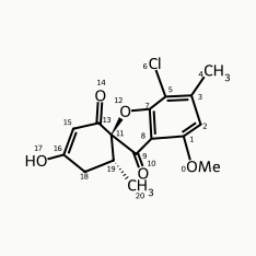 COc1cc(C)c(Cl)c2c1C(=O)[C@@]1(O2)C(=O)C=C(O)C[C@H]1C